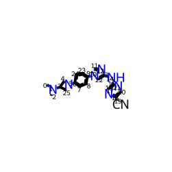 CN(C)C1CN(c2ccc(-n3cnc(Nc4cnc(C#N)cn4)c3)cc2)C1